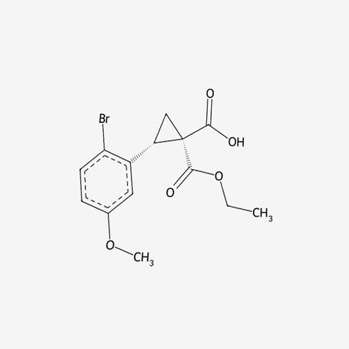 CCOC(=O)[C@@]1(C(=O)O)C[C@H]1c1cc(OC)ccc1Br